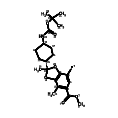 COC(=O)c1cc(F)c2c(c1C)OC(C)([C@H]1CC[C@H](NC(=O)OC(C)(C)C)CC1)O2